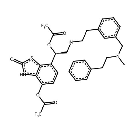 CN(CCc1ccccc1)Cc1cccc(CCNC[C@H](OC(=O)C(F)(F)F)c2ccc(OC(=O)C(F)(F)F)c3[nH]c(=O)sc23)c1